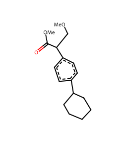 COCC(C(=O)OC)c1ccc(C2CCCCC2)cc1